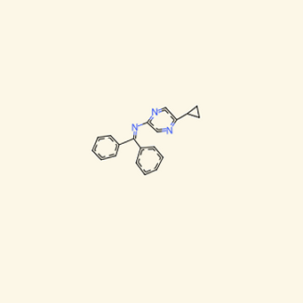 c1ccc(C(=Nc2cnc(C3CC3)cn2)c2ccccc2)cc1